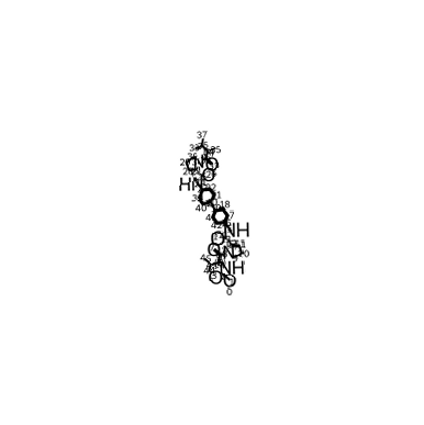 COC(=O)N[C@@H](C(=O)N1CCC[C@H]1C(=O)Nc1ccc(-c2ccc(NC(=O)[C@@H]3CCCN3C(=O)[C@H](C)C(C)C)cc2)cc1)C(C)C